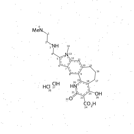 CNCCNCc1cc2cc3c(cc2n1C)CCCc1c-3[nH]c(=O)c(C(=O)O)c1O.Cl.Cl